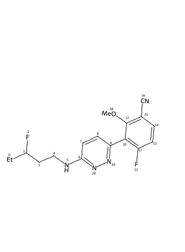 CCC(F)CCNc1ccc(-c2c(F)ccc(C#N)c2OC)nn1